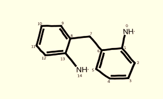 [NH]c1ccccc1Cc1ccccc1[NH]